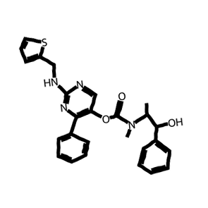 CC(C(O)c1ccccc1)N(C)C(=O)Oc1cnc(NCc2cccs2)nc1-c1ccccc1